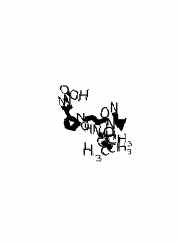 CC(C)(C)OC(=O)NC(Cc1nc2c(-c3cnn(C(=O)O)c3)cccc2o1)C(=O)NC1(C#N)CC1